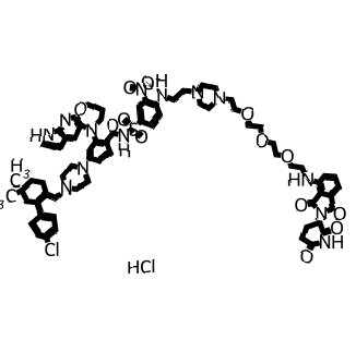 CC1(C)CCC(CN2CCN(c3ccc(C(=O)NS(=O)(=O)c4ccc(NCCN5CCN(CCOCCOCCOCCNc6cccc7c6C(=O)N(C6CCC(=O)NC6=O)C7=O)CC5)c([N+](=O)[O-])c4)c(N4CCCOc5nc6[nH]ccc6cc54)c3)CC2)=C(c2ccc(Cl)cc2)C1.Cl